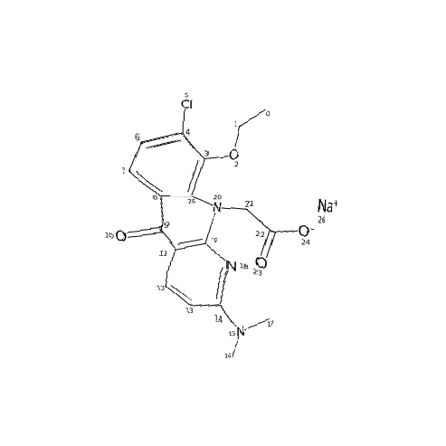 CCOc1c(Cl)ccc2c(=O)c3ccc(N(C)C)nc3n(CC(=O)[O-])c12.[Na+]